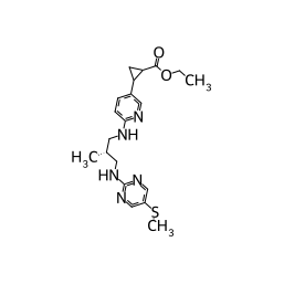 CCOC(=O)C1CC1c1ccc(NC[C@@H](C)CNc2ncc(SC)cn2)nc1